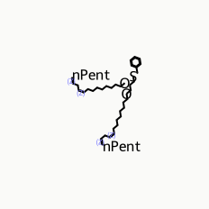 CCCCC/C=C\C/C=C\CCCCCCCCOCC(CSCc1ccccc1)OCCCCCCCC/C=C\C/C=C\CCCCC